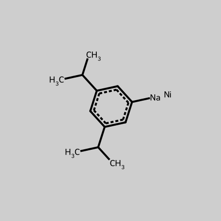 CC(C)c1c[c]([Na])cc(C(C)C)c1.[Ni]